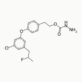 CC(F)Cc1cc(Cl)cc(Oc2ccc(CCOC(=O)NN)cc2)c1